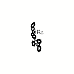 CC1(C)c2cc3ccccc3cc2-c2ccc3cc(N(c4ccccc4)c4cccc5c4oc4ccccc45)ccc3c21